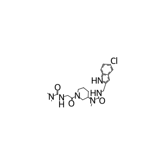 CN(C)C(=O)NCC(=O)N1CCC[C@@H](N(C)C(=O)NCc2cc3cc(Cl)ccc3[nH]2)C1